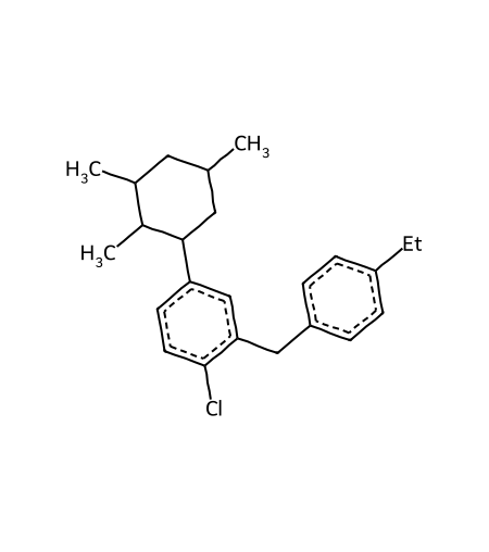 CCc1ccc(Cc2cc(C3CC(C)CC(C)C3C)ccc2Cl)cc1